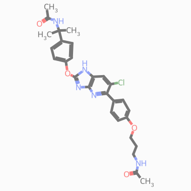 CC(=O)NCCCOc1ccc(-c2nc3nc(Oc4ccc(C(C)(C)NC(C)=O)cc4)[nH]c3cc2Cl)cc1